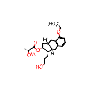 C[C@@H](O)C(=O)O[C@@H]1C[C@@H]2Cc3c(cccc3OCC(=O)O)C[C@@H]2[C@H]1CCCO